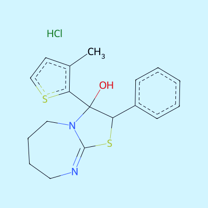 Cc1ccsc1C1(O)C(c2ccccc2)SC2=NCCCCN21.Cl